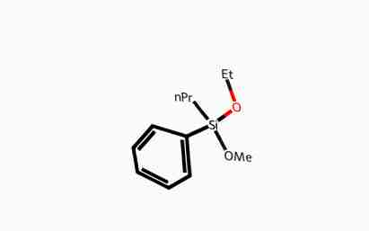 CCC[Si](OC)(OCC)c1ccccc1